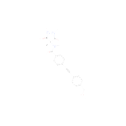 CNC(=O)[C@@](C)(C(=O)NO)N(C)C(=O)c1ccc(C#Cc2ccc(COC)cc2)cc1